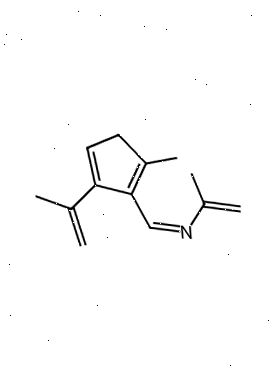 C=C(C)/N=C\C1=C(C)CC=C1C(=C)C